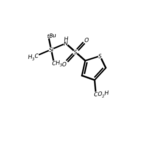 CC(C)(C)[Si](C)(C)NS(=O)(=O)c1cc(C(=O)O)cs1